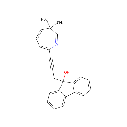 CC1(C)C=CC=C(C#CCC2(O)c3ccccc3-c3ccccc32)N=C1